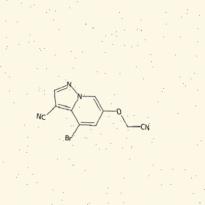 N#CCOc1cc(Br)c2c(C#N)cnn2c1